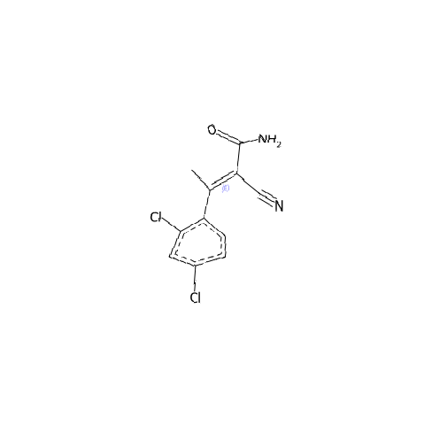 C/C(=C(/C#N)C(N)=O)c1ccc(Cl)cc1Cl